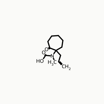 C=CCC1(N(C)C(=O)O)CCCCCC1=O